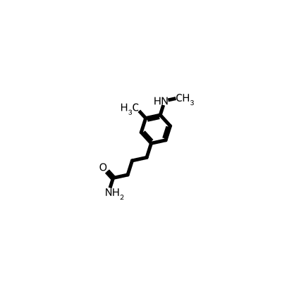 CNc1ccc(CCCC(N)=O)cc1C